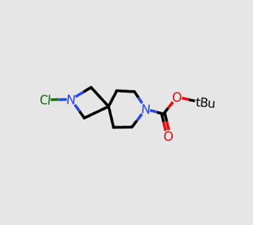 CC(C)(C)OC(=O)N1CCC2(CC1)CN(Cl)C2